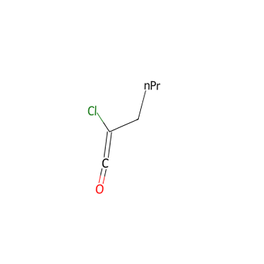 CCCCC(Cl)=C=O